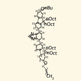 CC#CCOc1ccc2c(c1)C(CCCCCCCC)(CCCCCCCC)c1cc(-c3ccc(-c4ccc5c(c4)C(CCCCCCCC)(CCCCCCCC)c4cc(OCCCC)ccc4-5)c4nsnc34)ccc1-2